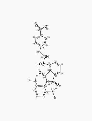 CC(C)c1cccc(C(C)C)c1N1C(=O)c2cccc(C(=O)NCc3ccc([N+](=O)[O-])cc3)c2C1=O